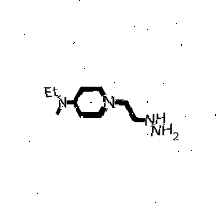 CCN(C)C1CCN(CCNN)CC1